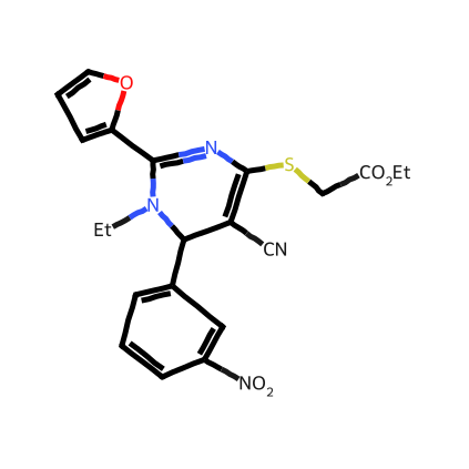 CCOC(=O)CSC1=C(C#N)C(c2cccc([N+](=O)[O-])c2)N(CC)C(c2ccco2)=N1